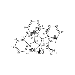 CCC[CH2][Zr]([CH2]CCC)([CH]1C(CC)=Cc2ccccc21)([CH]1C(CC)=Cc2ccccc21)[SiH](C)c1ccccc1